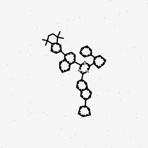 CC1(C)CCC(C)(C)c2cc(-c3ccc(-c4nc(-c5ccc6cc(-c7ccccc7)ccc6c5)nc(-c5ccccc5-c5ccccc5)n4)c4ccccc34)ccc21